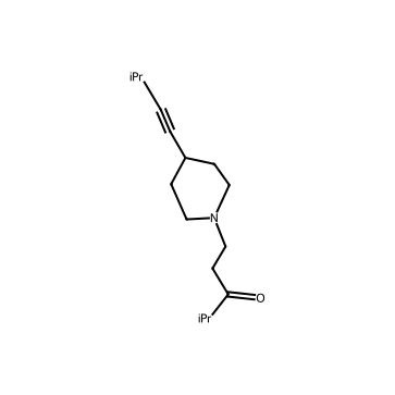 CC(C)C#CC1CCN(CCC(=O)C(C)C)CC1